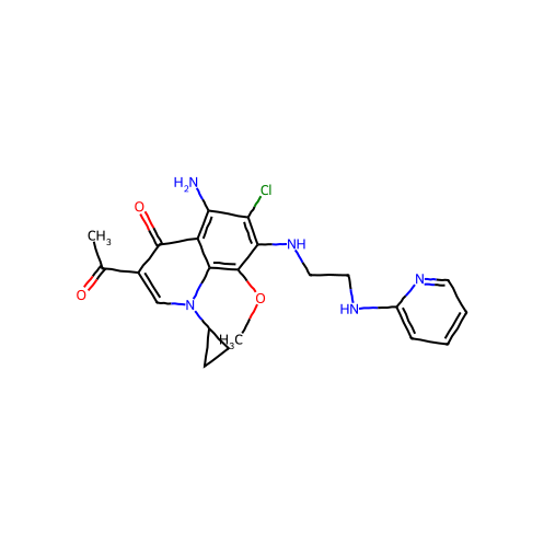 COc1c(NCCNc2ccccn2)c(Cl)c(N)c2c(=O)c(C(C)=O)cn(C3CC3)c12